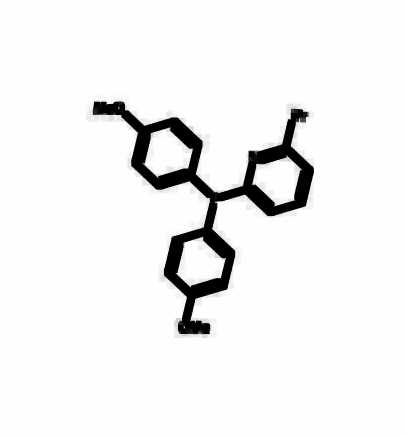 COc1ccc(P(c2ccc(OC)cc2)c2cccc(C(C)C)n2)cc1